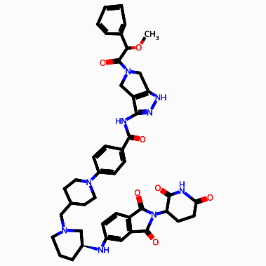 COC(C(=O)N1Cc2[nH]nc(NC(=O)c3ccc(N4CCC(CN5CCC[C@H](Nc6ccc7c(c6)C(=O)N(C6CCC(=O)NC6=O)C7=O)C5)CC4)cc3)c2C1)c1ccccc1